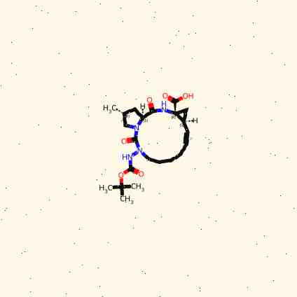 C[C@@H]1C[C@H]2C(=O)N[C@]3(C(=O)O)C[C@H]3/C=C\CCCCN(NC(=O)OC(C)(C)C)C(=O)N2C1